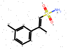 CC(=CS(N)(=O)=O)c1cccc(C)c1